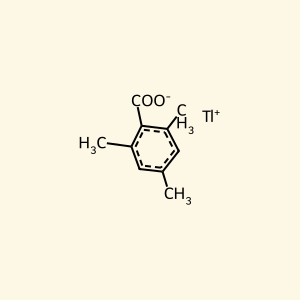 Cc1cc(C)c(C(=O)[O-])c(C)c1.[Tl+]